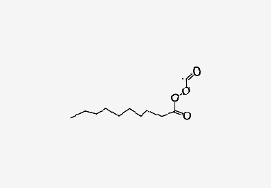 CCCCCCCCCC(=O)OO[C]=O